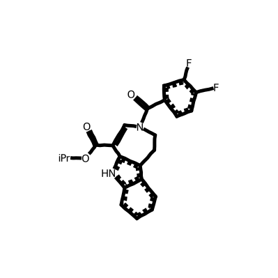 CC(C)OC(=O)C1=CN(C(=O)c2ccc(F)c(F)c2)CCc2c1[nH]c1ccccc21